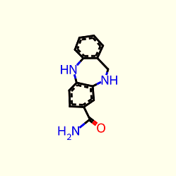 NC(=O)c1ccc2c(c1)NCc1ccccc1N2